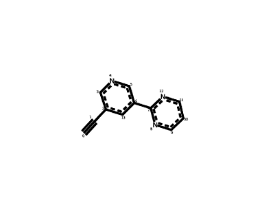 C#Cc1cncc(-c2ncccn2)c1